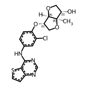 C[C@]12OC[C@H](Oc3ccc(Nc4ncnc5ccsc45)cc3Cl)[C@H]1OC[C@@H]2O